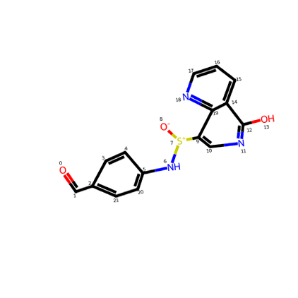 O=Cc1ccc(N[S+]([O-])c2cnc(O)c3cccnc23)cc1